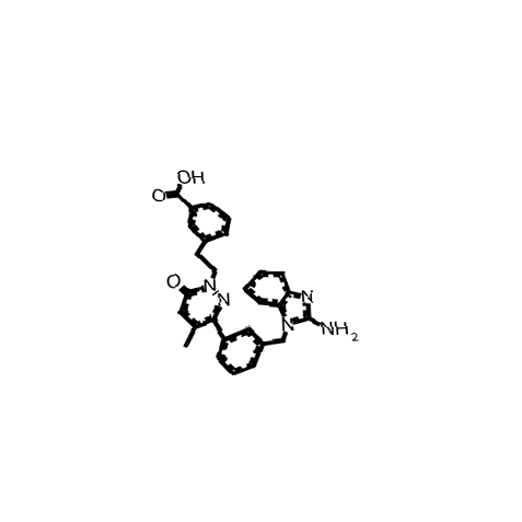 Cc1cc(=O)n(CCc2cccc(C(=O)O)c2)nc1-c1cccc(Cn2c(N)nc3ccccc32)c1